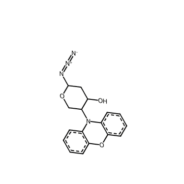 [N-]=[N+]=NC1CC(O)C(N2c3ccccc3Oc3ccccc32)CO1